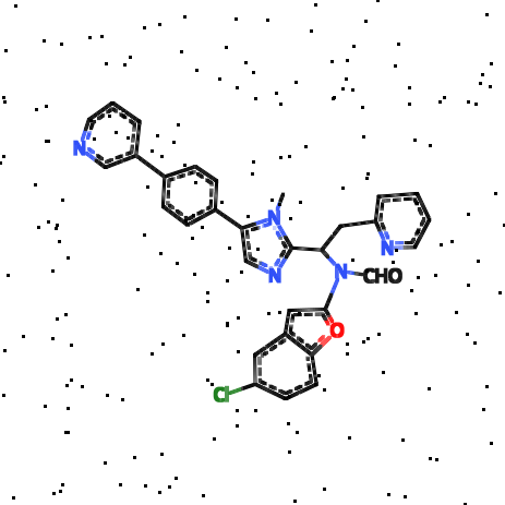 Cn1c(-c2ccc(-c3cccnc3)cc2)cnc1C(Cc1ccccn1)N(C=O)c1cc2cc(Cl)ccc2o1